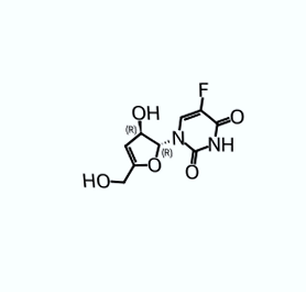 O=c1[nH]c(=O)n([C@@H]2OC(CO)=C[C@H]2O)cc1F